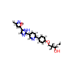 C=C=C(O)C(C)(C)COc1ccc(-c2ccc(-c3ncc(-c4cc(C)no4)[nH]3)cn2)cc1